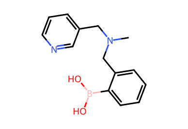 CN(Cc1cccnc1)Cc1ccccc1B(O)O